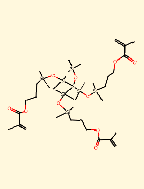 C=C(C)C(=O)OCCC[Si](C)(C)O[Si](C)(C)[Si](O[Si](C)(C)C)([Si](C)(C)O[Si](C)(C)CCCOC(=O)C(=C)C)[Si](C)(C)O[Si](C)(C)CCCOC(=O)C(=C)C